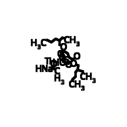 CCCCC(CC)COC(=O)CC(C(=O)OCC(CC)CCCC)S(=O)(=O)O.CC[O][Ti].[NaH]